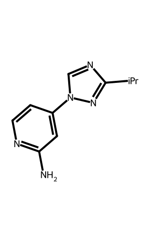 CC(C)c1ncn(-c2ccnc(N)c2)n1